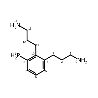 NCCCc1cccc(P)c1CCCN